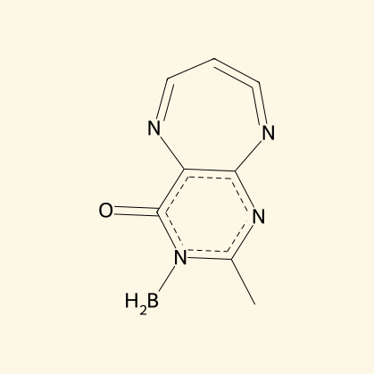 Bn1c(C)nc2c(c1=O)N=CC=C=N2